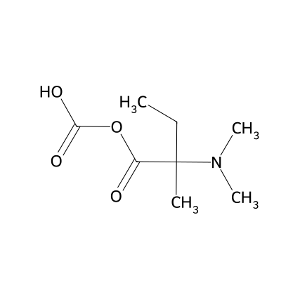 CCC(C)(C(=O)OC(=O)O)N(C)C